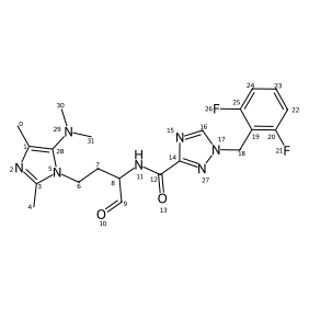 Cc1nc(C)n(CCC(C=O)NC(=O)c2ncn(Cc3c(F)cccc3F)n2)c1N(C)C